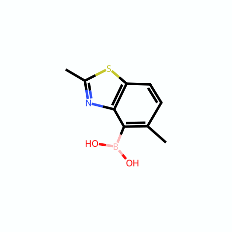 Cc1nc2c(B(O)O)c(C)ccc2s1